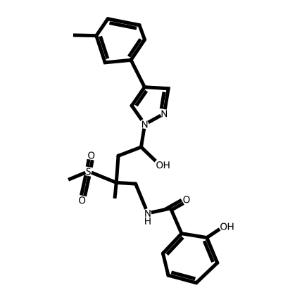 Cc1cccc(-c2cnn(C(O)CC(C)(CNC(=O)c3ccccc3O)S(C)(=O)=O)c2)c1